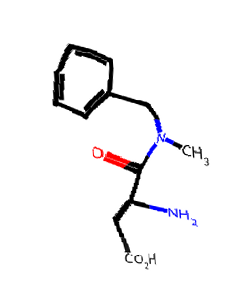 CN(Cc1ccccc1)C(=O)C(N)CC(=O)O